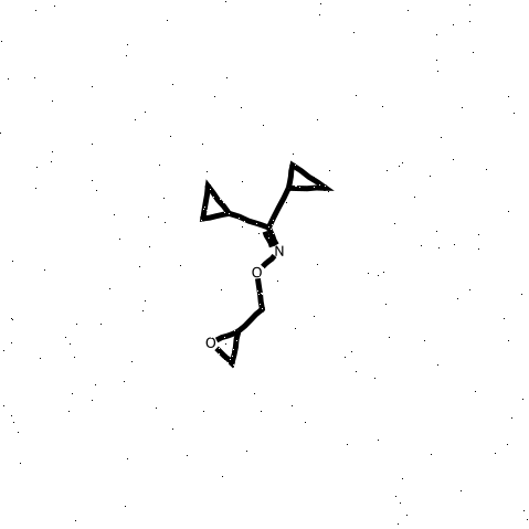 C(ON=C(C1CC1)C1CC1)C1CO1